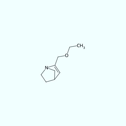 CCOCC1=CC2CCN1C2